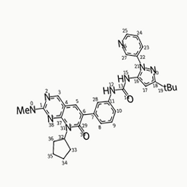 CNc1ncc2cc(-c3cccc(NC(=O)Nc4cc(C(C)(C)C)nn4-c4cccnc4)c3)c(=O)n(C3CCCC3)c2n1